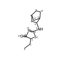 CCC1SC(NC2CC3CCC2C3)=NC1=O